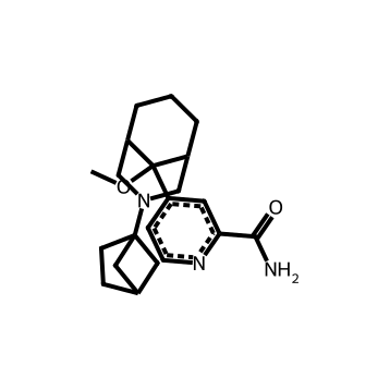 COC1(c2ccnc(C(N)=O)c2)C2CCCC1CN(C13CCC(C1)C3)C2